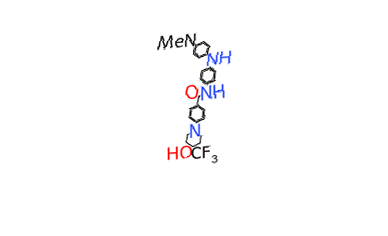 CNc1ccc(Nc2ccc(NC(=O)c3ccc(N4CCC(O)(C(F)(F)F)CC4)cc3)cc2)cc1